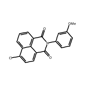 COc1cccc(N2C(=O)c3cccc4c(Cl)ccc(c34)C2=O)c1